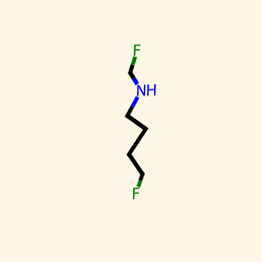 FCCCCNCF